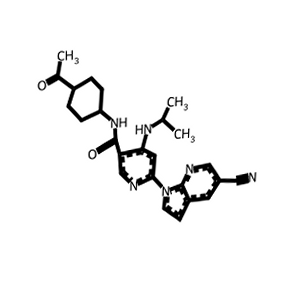 CC(=O)C1CCC(NC(=O)c2cnc(-n3ccc4cc(C#N)cnc43)cc2NC(C)C)CC1